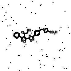 O=C(CO)c1c(-c2ccccc2)noc1-c1nc(-c2ccc(CN3CC(C(=O)O)C3)cc2)no1